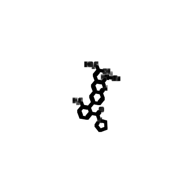 C/C(=C\c1cc2cc(-c3c(C)cccc3C(=O)N3CCCC3)ccc2nc1NC(C)(C)C)C(=O)O